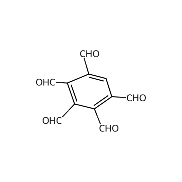 O=Cc1cc(C=O)c(C=O)c(C=O)c1C=O